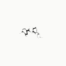 CC1(c2cccc(NC(=O)c3ccc(F)c(Cl)c3)c2)CCSC(N)=N1